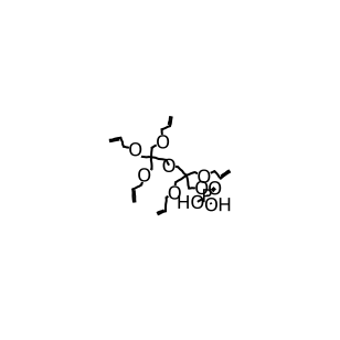 C=CCOCC(COCC=C)(COCC=C)COCC(COCC=C)(COCC=C)COP(=O)(O)O